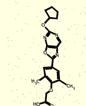 Cc1cc(-c2nc3cnc(OC4CCCC4)nc3o2)cc(C)c1OCC(=O)O